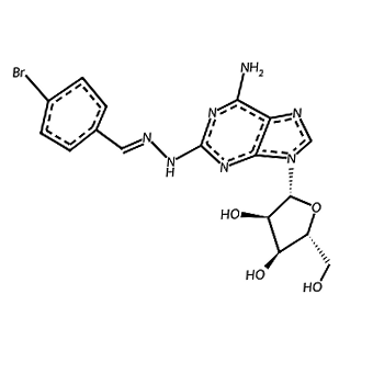 Nc1nc(N/N=C/c2ccc(Br)cc2)nc2c1ncn2[C@@H]1O[C@H](CO)[C@@H](O)[C@H]1O